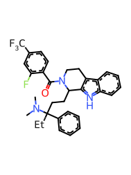 CCC(CCC1c2[nH]c3ccccc3c2CCN1C(=O)c1ccc(C(F)(F)F)cc1F)(c1ccccc1)N(C)C